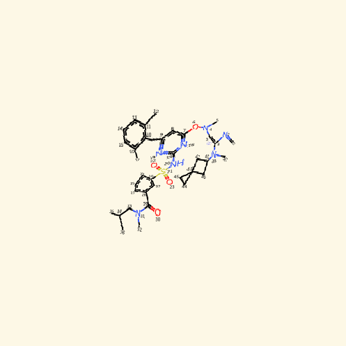 C=N/C(=C\N(C)Oc1cc(-c2c(C)cccc2C)nc(NS(=O)(=O)c2cccc(C(=O)N(C)CC(C)C)c2)n1)N(C)C1CC2(CC2)C1